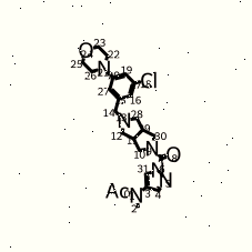 CC(=O)N(C)c1cnn(C(=O)N2CC3CN(Cc4cc(Cl)cc(N5CCOCC5)c4)CC3C2)c1